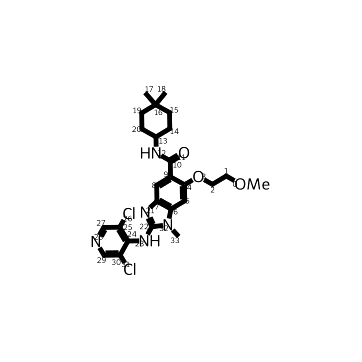 COCCOc1cc2c(cc1C(=O)NC1CCC(C)(C)CC1)nc(Nc1c(Cl)cncc1Cl)n2C